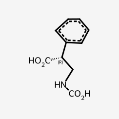 O=C(O)NC[C@H](C(=O)O)c1ccccc1